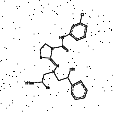 CCCCCCC(CC)CN(CC(CCC)c1ccccc1)N=C1SCCN1C(=S)Nc1cccc(Cl)c1